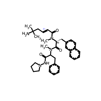 CN(C(=O)[C@@H](Cc1ccc2ccccc2c1)N(C)C(=O)/C=C/CC(C)(C)N)C(Cc1ccccc1)C(=O)NN1CCCC1